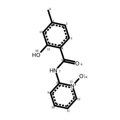 Cc1ccc(C(=O)Nc2cccc[n+]2[O-])c(O)c1